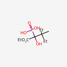 CCOC(=O)C(O)(C(C)(CC)CC)P(=O)(O)O